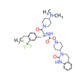 CCc1ccc(C[C@@H](NC(=O)ON2CCC(N3CCc4ccccc4NC3=O)CC2)C(=O)N2CCC(N(C)C)CC2)cc1C(F)(F)F